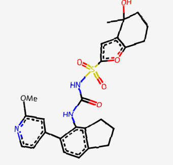 COc1cc(-c2ccc3c(c2NC(=O)NS(=O)(=O)c2cc4c(o2)CCCC4(C)O)CCC3)ccn1